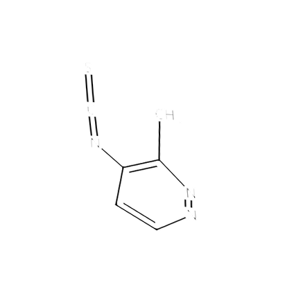 Cc1nnccc1N=C=S